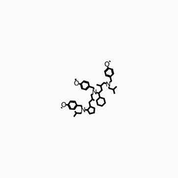 COc1ccc(CN(CC(C)C)CC(C)CC(C2CCCCC2)N(Cc2ccc(OC)cc2)CC(C)CC2CCCC2N(Cc2ccc(OC)cc2)CC(C)C)cc1